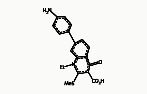 CCn1c(SC)c(C(=O)O)c(=O)c2ccc(-c3ccc(N)cc3)cc21